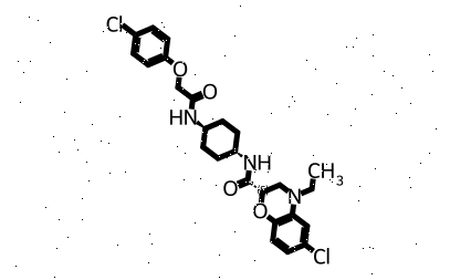 CCN1C[C@@H](C(=O)N[C@H]2CC[C@H](NC(=O)COc3ccc(Cl)cc3)CC2)Oc2ccc(Cl)cc21